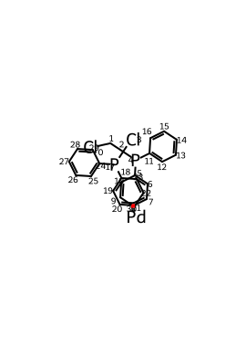 ClCC(Cl)(P(c1ccccc1)c1ccccc1)P(c1ccccc1)c1ccccc1.[Pd]